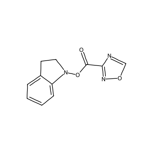 O=C(ON1CCc2ccccc21)c1ncon1